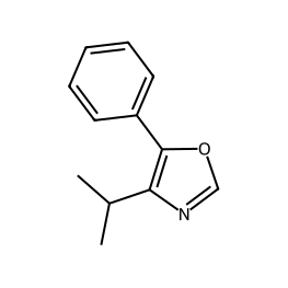 CC(C)c1ncoc1-c1ccccc1